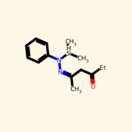 CCC(=O)CC(C)=NN(c1ccccc1)[SiH](C)C